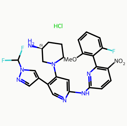 COc1cccc(F)c1-c1nc(Nc2cc(N3CCC[C@H](N)C3)c(-c3cnn(C(F)F)c3)cn2)ccc1[N+](=O)[O-].Cl